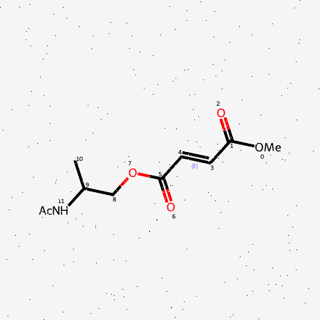 COC(=O)/C=C/C(=O)OCC(C)NC(C)=O